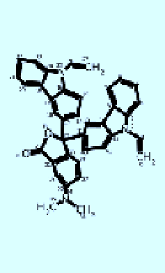 C=Cn1c2ccccc2c2cc(C3(c4ccc5c(c4)c4ccccc4n5C=C)OC(=O)c4cc(N(C)C)ccc43)ccc21